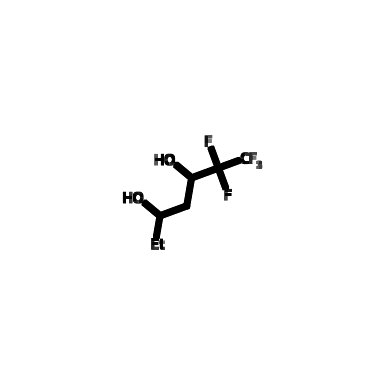 CCC(O)CC(O)C(F)(F)C(F)(F)F